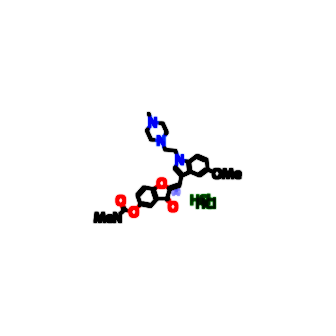 CNC(=O)Oc1ccc2c(c1)C(=O)/C(=C/c1cn(CCN3CCN(C)CC3)c3ccc(OC)cc13)O2.Cl.Cl